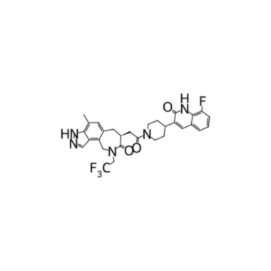 Cc1cc2c(c3cn[nH]c13)CN(CC(F)(F)F)C(=O)[C@H](CC(=O)N1CCC(c3cc4cccc(F)c4[nH]c3=O)CC1)C2